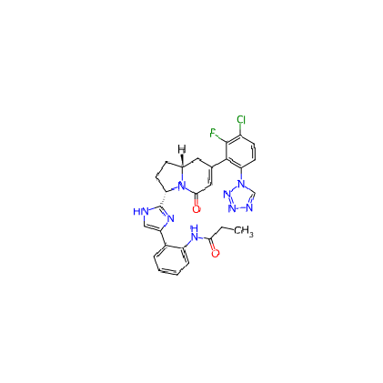 CCC(=O)Nc1ccccc1-c1c[nH]c([C@@H]2CC[C@@H]3CC(c4c(-n5cnnn5)ccc(Cl)c4F)=CC(=O)N32)n1